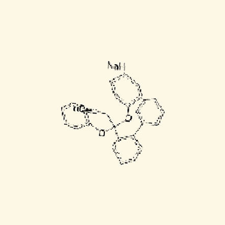 CCCCCCCCCCCC(Oc1ccccc1)(Oc1ccccc1)c1ccccc1-c1ccccc1.[NaH]